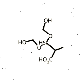 CC(C(=O)O)[SiH](OCO)OCO